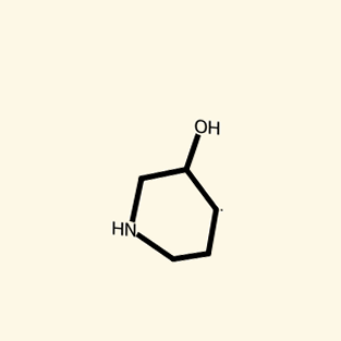 OC1[CH]CCNC1